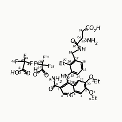 CCOc1cc2ncc(C(N)=O)c(Nc3cccc(CNC(=O)[C@@H](N)CC(=O)O)c3CC)c2cc1OCC.O=C(O)C(F)(F)F.O=C(O)C(F)(F)F